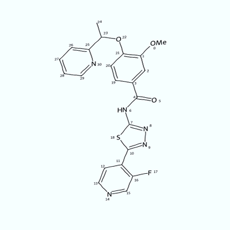 COc1cc(C(=O)Nc2nnc(-c3ccncc3F)s2)ccc1OC(C)c1ccccn1